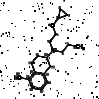 CCCN(CCOC1CC1)C1CCc2c(O)cccc2C1